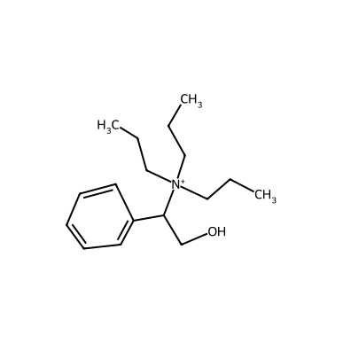 CCC[N+](CCC)(CCC)C(CO)c1ccccc1